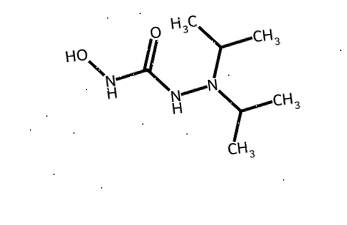 CC(C)N(NC(=O)NO)C(C)C